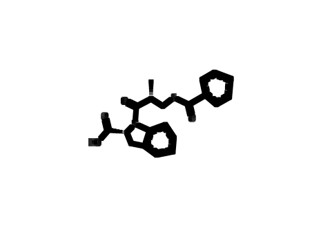 C[C@H](CSC(=O)c1ccccc1)C(=O)N1c2ccccc2C[C@@H]1C(=O)O